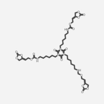 O=C(NCCCCCCn1c(=O)n(CCCCCCNCOC/C=C2/COC(=O)O2)c(=O)n(CCCCCCNC(=O)OC/C=C2/COC(=O)O2)c1=O)OC/C=C1/COC(=O)O1